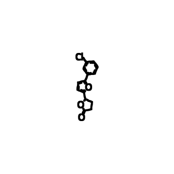 O=C1CCC(c2ccc(-c3cccc(Cl)c3)o2)O1